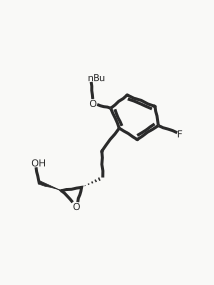 CCCCOc1ccc(F)cc1CC[C@@H]1O[C@H]1CO